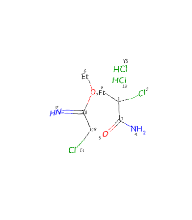 CCC(Cl)C(N)=O.CCOC(=N)CCl.Cl.Cl